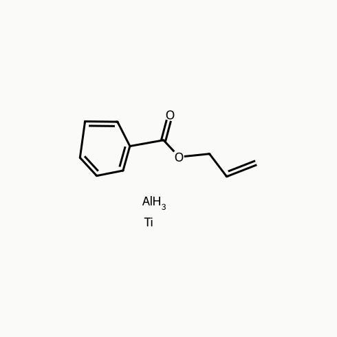 C=CCOC(=O)c1ccccc1.[AlH3].[Ti]